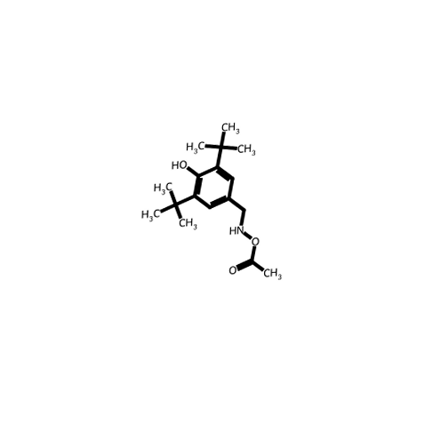 CC(=O)ONCc1cc(C(C)(C)C)c(O)c(C(C)(C)C)c1